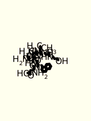 CC(C)[C@H](NC(=O)[C@H](C)NC(=O)[C@H](CC(N)=O)NC(=O)[C@H](Cc1cccc2ccccc12)NC(=O)[C@@H](N)CC(=O)O)C(=O)NCC(=O)NCCCO